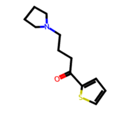 O=C(CCCN1CCCC1)c1cccs1